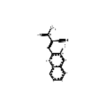 N#CC(=Cc1nc2ccccc2cc1O)C(N)=S